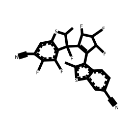 Cc1sc2cc(C#N)ccc2c1C1=C(C2(F)c3c(cc(C#N)c(F)c3F)SC2C)C(F)C(F)C1F